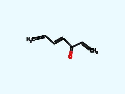 C=CC=CC(=O)C=C